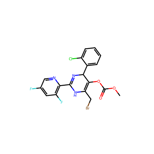 COC(=O)OC1=C(CBr)NC(c2ncc(F)cc2F)=NC1c1ccccc1Cl